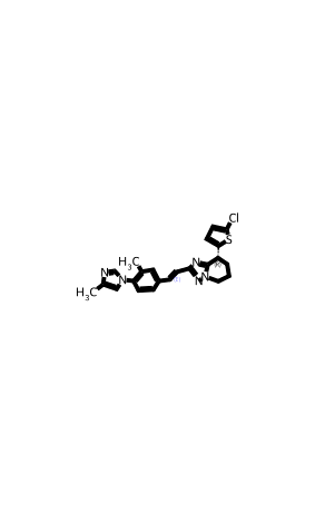 Cc1cn(-c2ccc(/C=C/c3nc4n(n3)CCC[C@H]4c3ccc(Cl)s3)cc2C)cn1